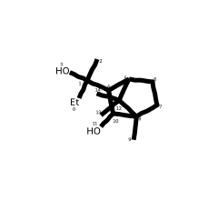 CCC(C)(O)C1C2CCC(C)(C1O)C2(C)C